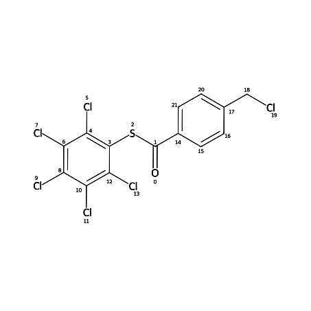 O=C(Sc1c(Cl)c(Cl)c(Cl)c(Cl)c1Cl)c1ccc(CCl)cc1